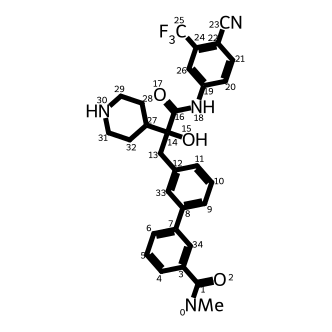 CNC(=O)c1cccc(-c2cccc(CC(O)(C(=O)Nc3ccc(C#N)c(C(F)(F)F)c3)C3CCNCC3)c2)c1